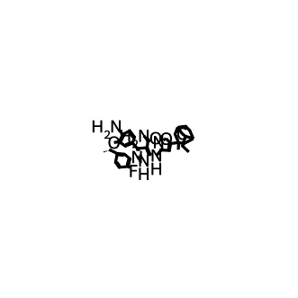 CCC1CC2CCC1CC(C)(c1cc(Nc3[nH]nc(-c4ccc(N)c(O[C@@H](C)c5ccc(F)cc5)c4)c3C(N)=O)no1)C2